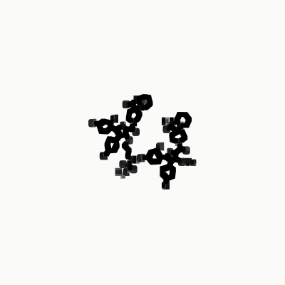 COc1c(C(=O)N2CCC(C(N)=O)(N3CCCCC3)CC2)sc(-c2ccc(Cl)cc2Cl)c1-c1ccc(Cl)cc1.CS(=O)(=O)NCCCOc1c(C(=O)N2CCC(C(N)=O)(N3CCCCC3)CC2)sc(-c2ccc(Cl)cc2Cl)c1-c1ccc(Cl)cc1